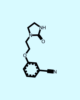 N#Cc1cccc(OCCN2CCNC2=O)c1